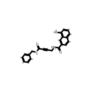 O=C(C#CCNC(=O)c1ccc2cccc(S)c2c1)OCc1ccccc1